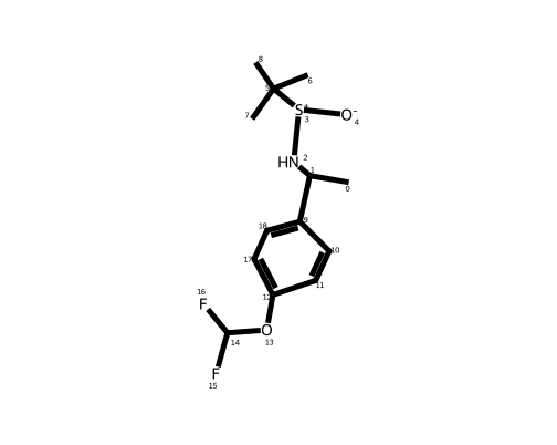 CC(N[S+]([O-])C(C)(C)C)c1ccc(OC(F)F)cc1